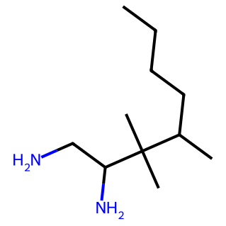 CCCCC(C)C(C)(C)C(N)CN